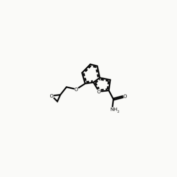 NC(=O)c1cc2cccc(OCC3CO3)c2o1